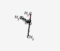 CCCCCCCCCCCCCCOC(COCCCCCCCC)COC(=O)NCCOCCOC